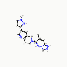 CCn1ccc(-c2cnc3c(c2)CN(c2nn4cnnc4cc2C)CC3)n1